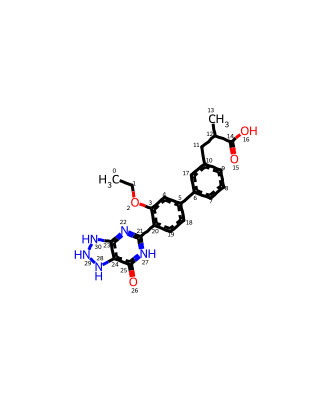 CCOc1cc(-c2cccc(CC(C)C(=O)O)c2)ccc1-c1nc2c(c(=O)[nH]1)NNN2